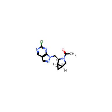 CC(=O)N1C[C@H]2C[C@H]2[C@H]1Cn1ncc2cnc(Cl)nc21